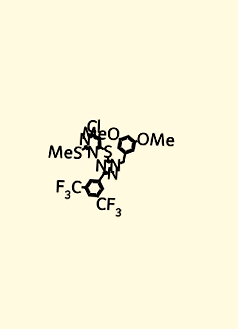 COc1cc(Cn2nc(-c3cc(C(F)(F)F)cc(C(F)(F)F)c3)nc2Sc2cc(Cl)nc(SC)n2)cc(OC)c1